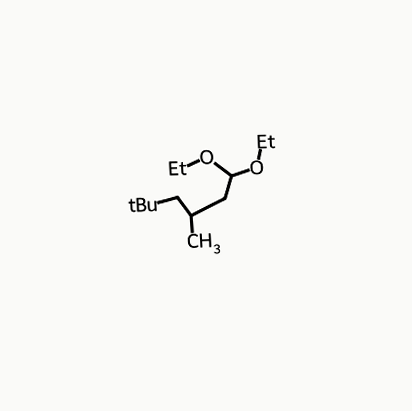 CCOC(CC(C)CC(C)(C)C)OCC